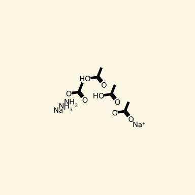 CC(=O)O.CC(=O)O.CC(=O)[O-].CC(=O)[O-].N.N.[Na+].[Na+]